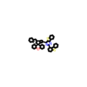 c1ccc2c(c1)Oc1ccccc1C21c2cc(-c3nc(-c4cccc5sc6ccccc6c45)nc4c3sc3ccccc34)ccc2-c2cc3ccccc3cc21